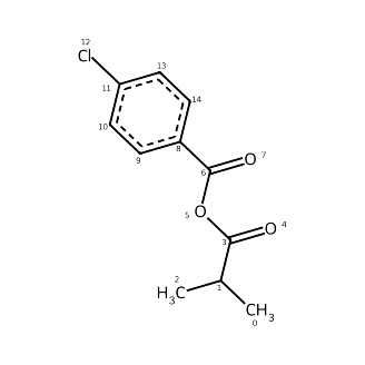 CC(C)C(=O)OC(=O)c1ccc(Cl)cc1